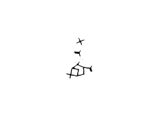 CC(C)(C)OC(=O)N[C@@H]1[C@@H](C(=O)O)C[C@@H]2C[C@H]1C2(C)C